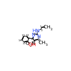 C=CCNc1nc(C)c([N+](=O)[O-])c(-c2ccccc2O)n1